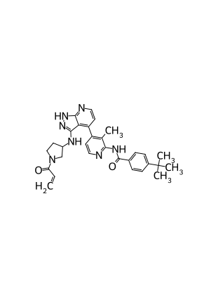 C=CC(=O)N1CCC(Nc2n[nH]c3nccc(-c4ccnc(NC(=O)c5ccc(C(C)(C)C)cc5)c4C)c23)C1